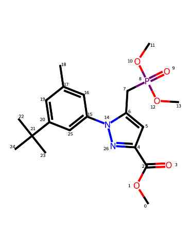 COC(=O)c1cc(CP(=O)(OC)OC)n(-c2cc(C)cc(C(C)(C)C)c2)n1